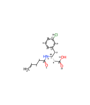 C=CCCC(=O)N[C@@H](CC(=O)O)Cc1cccc(Cl)c1